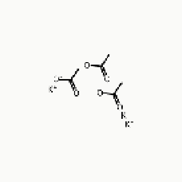 CC(=O)[O-].CC(=O)[O-].CC(=O)[O-].[K+].[K+].[K+]